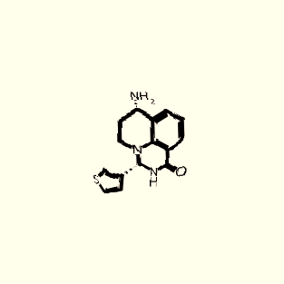 N[C@H]1CCN2c3c(cccc31)C(=O)N[C@@H]2c1ccsc1